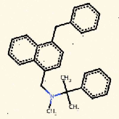 CN(Cc1ccc(Cc2ccccc2)c2ccccc12)C(C)(C)c1ccccc1